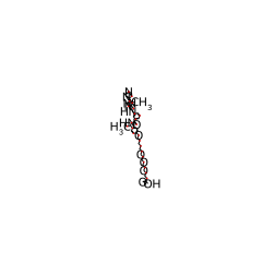 C[C@@H](NC(=O)c1cccc(NCc2nnc(-c3ccncn3)n2C)c1)c1ccc(OCCCCCCOCCOCCOCCCC(=O)O)cc1